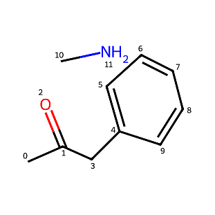 CC(=O)Cc1ccccc1.CN